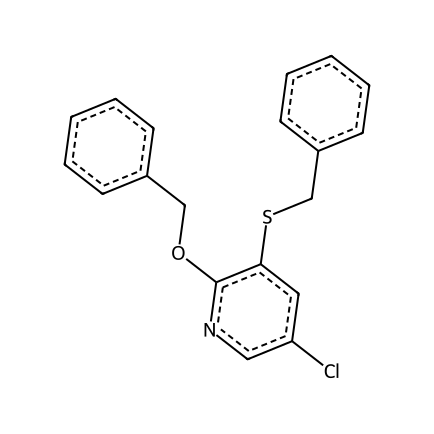 Clc1cnc(OCc2ccccc2)c(SCc2ccccc2)c1